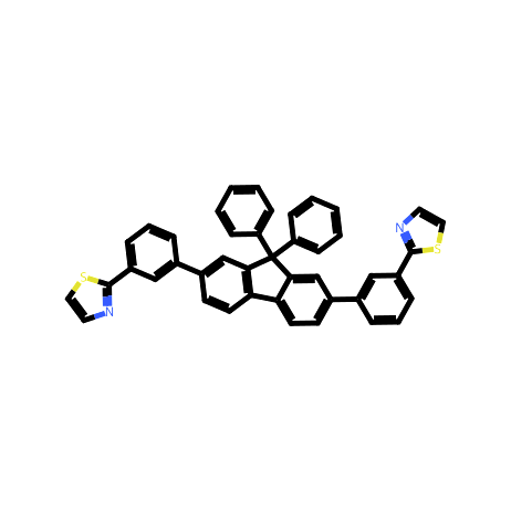 c1ccc(C2(c3ccccc3)c3cc(-c4cccc(-c5nccs5)c4)ccc3-c3ccc(-c4cccc(-c5nccs5)c4)cc32)cc1